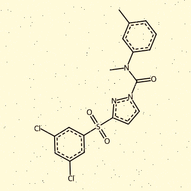 Cc1cccc(N(C)C(=O)n2ccc(S(=O)(=O)c3cc(Cl)cc(Cl)c3)n2)c1